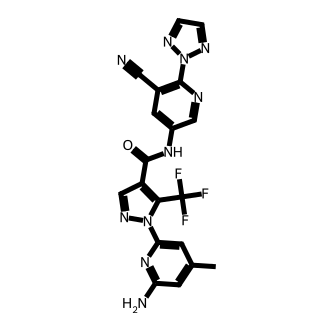 Cc1cc(N)nc(-n2ncc(C(=O)Nc3cnc(-n4nccn4)c(C#N)c3)c2C(F)(F)F)c1